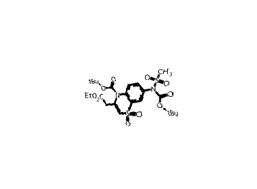 CCOC(=O)CC1=CS(=O)(=O)c2cc(N(C(=O)OC(C)(C)C)S(C)(=O)=O)ccc2N1C(=O)OC(C)(C)C